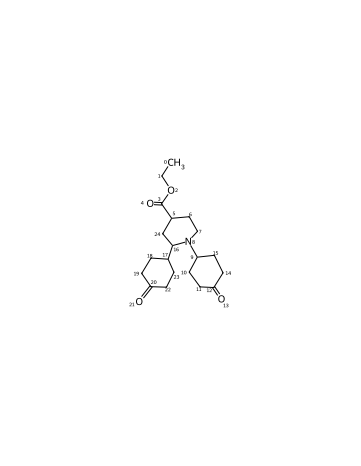 CCOC(=O)C1CCN(C2CCC(=O)CC2)C(C2CCC(=O)CC2)C1